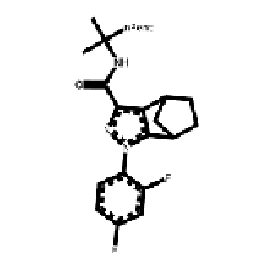 CCCCCC(C)(C)NC(=O)c1nn(-c2ccc(F)cc2F)c2c1C1CCC2C1